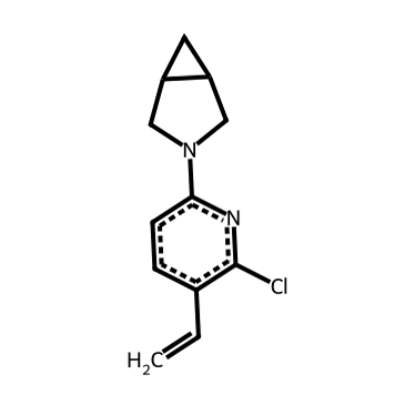 C=Cc1ccc(N2CC3CC3C2)nc1Cl